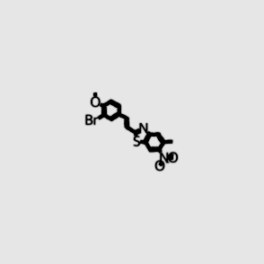 COc1ccc(/C=C/c2nc3cc(C)c([N+](=O)[O-])cc3s2)cc1Br